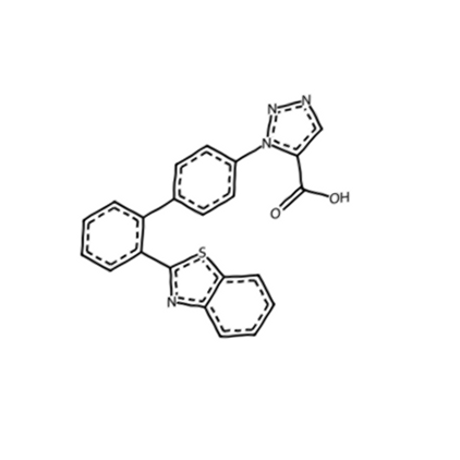 O=C(O)c1cnnn1-c1ccc(-c2ccccc2-c2nc3ccccc3s2)cc1